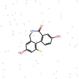 O=C1NCc2cc(O)cc(F)c2-c2ccc(O)cc21